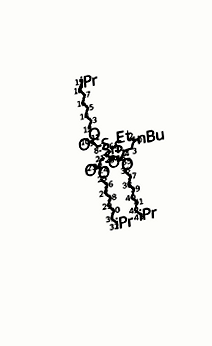 CCCCC(CC)CC([S][Sn]([S]CC(=O)OCCCCCCCC(C)C)[S]CC(=O)OCCCCCCCC(C)C)C(=O)OCCCCCCCC(C)C